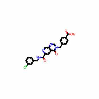 O=C(O)c1ccc(Cn2cnc3cnc(C(=O)NCc4cccc(Cl)c4)cc3c2=O)cc1